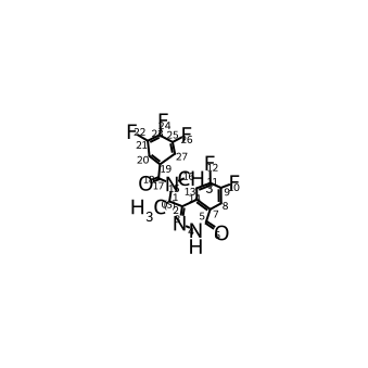 C[C@@H](c1n[nH]c(=O)c2cc(F)c(F)cc12)N(C)C(=O)c1cc(F)c(F)c(F)c1